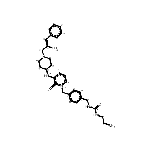 CCCNC(=O)NCc1ccc(Cn2ccnc(NC3CCN(C/C(C)=C/c4ccccc4)CC3)c2=O)cc1